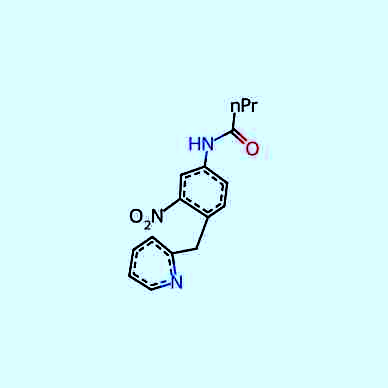 CCCC(=O)Nc1ccc(Cc2ccccn2)c([N+](=O)[O-])c1